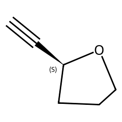 C#C[C@@H]1CCCO1